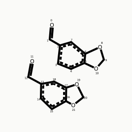 O=Cc1ccc2c(c1)OCO2.O=Cc1ccc2c(c1)OCO2